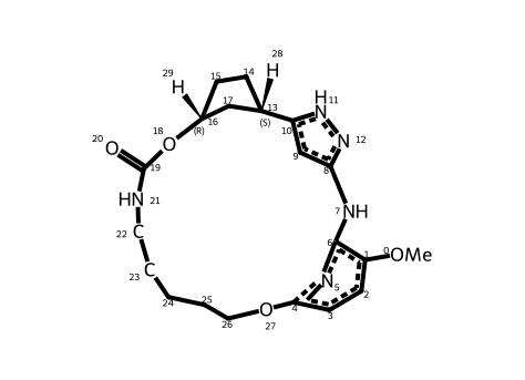 COc1ccc2nc1Nc1cc([nH]n1)[C@H]1CC[C@H](C1)OC(=O)NCCCCCO2